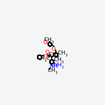 CCNc1ccc(C(c2ccc(C)c(COCc3ccc(OC)cc3)c2)C(C)(C)C(=O)OCc2ccccc2)c(C)c1N